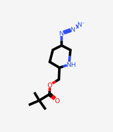 CC(C)(C)C(=O)OCC1CCC(N=[N+]=[N-])CN1